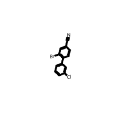 N#Cc1ccc(-c2cccc(Cl)c2)c(Br)c1